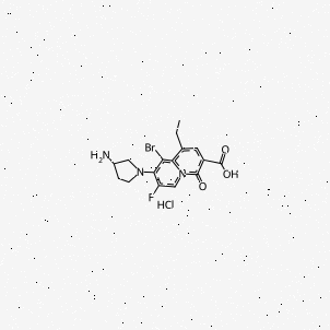 CCc1cc(C(=O)O)c(=O)n2cc(F)c(N3CCC(N)C3)c(Br)c12.Cl